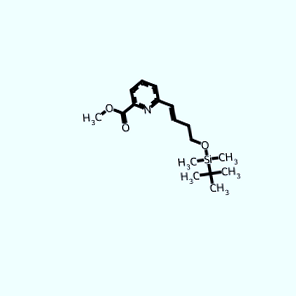 COC(=O)c1cccc(C=CCCO[Si](C)(C)C(C)(C)C)n1